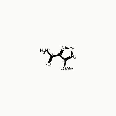 COc1nonc1C(N)=O